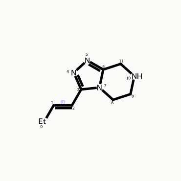 CC/C=C/c1nnc2n1CCNC2